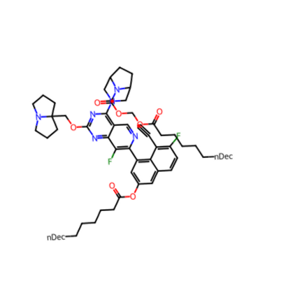 C#Cc1c(F)ccc2cc(OC(=O)CCCCCCCCCCCCCCC)cc(-c3ncc4c(N5CC6CCC(C5)N6C(=O)OCOC(=O)CCCCCCCCCCCCCCC)nc(OCC56CCCN5CCC6)nc4c3F)c12